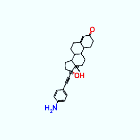 C[C@]12CCC3C4CCC(=O)C=C4CCC3C1CC[C@@]2(O)C#Cc1ccc(N)cc1